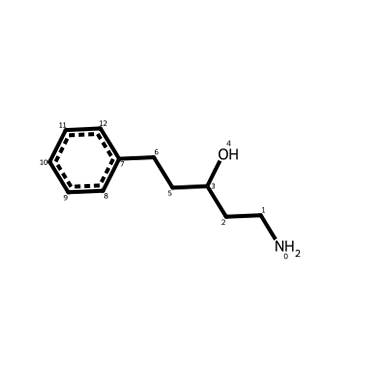 NCCC(O)CCc1ccccc1